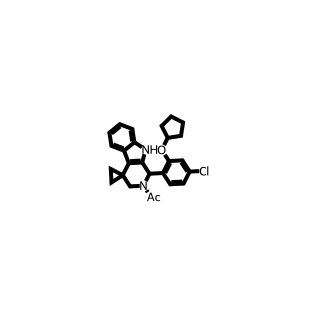 CC(=O)N1CC2(CC2)c2c([nH]c3ccccc23)C1c1ccc(Cl)cc1OC1CCCC1